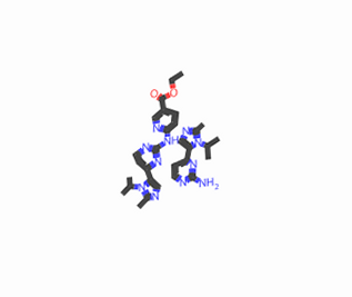 CCOC(=O)c1ccc(Nc2nccc(-c3cnc(C)n3C(C)C)n2)nc1.Cc1ncc(-c2ccnc(N)n2)n1C(C)C